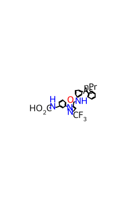 CCC[As](c1ccccc1)c1cccc(NC(=O)c2cc(C(F)(F)F)nn2-c2cccc(CNC(=O)O)c2)c1